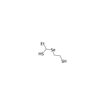 CCC(S)[Se]CCS